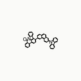 O=c1c2ccccc2c2ccc(-c3ccc4ccc5cc(-n6c7ccccc7c7ccccc76)ccc5c4c3)c3c4ccccc4n1c23